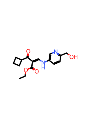 CCOC(=O)C(=CNc1ccc(CO)nc1)C(=O)C1CCC1